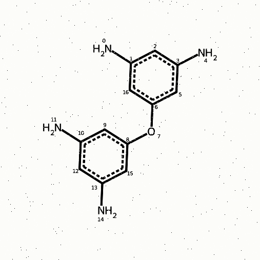 Nc1cc(N)cc(Oc2cc(N)cc(N)c2)c1